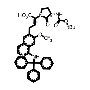 CC(C)(C)OC(=O)N[C@H]1CCN(/C(=C/Cc2cc3ccnc(NC(c4ccccc4)(c4ccccc4)c4ccccc4)c3cc2OC(F)(F)F)C(=O)O)C1=O